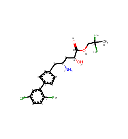 N[C@H](Cc1ccc(-c2cc(Cl)ccc2F)cc1)C[C@@H](O)C(=O)OCC(F)(F)C(F)(F)F